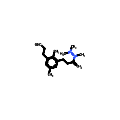 C=C(CCc1cc(C)cc(CCC=O)c1C)N(C)N(C)C